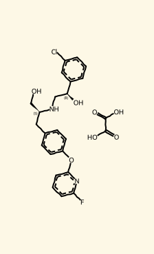 O=C(O)C(=O)O.OC[C@H](Cc1ccc(Oc2cccc(F)n2)cc1)NC[C@H](O)c1cccc(Cl)c1